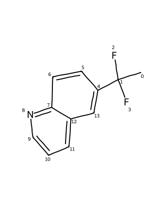 CC(F)(F)c1ccc2ncccc2c1